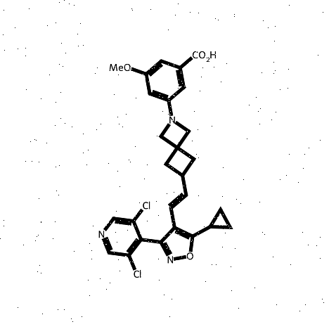 COc1cc(C(=O)O)cc(N2CC3(CC(C=Cc4c(-c5c(Cl)cncc5Cl)noc4C4CC4)C3)C2)c1